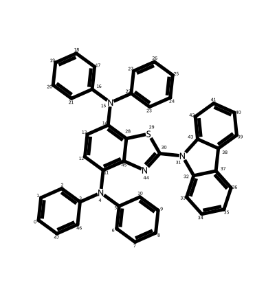 c1ccc(N(c2ccccc2)c2ccc(N(c3ccccc3)c3ccccc3)c3sc(-n4c5ccccc5c5ccccc54)nc23)cc1